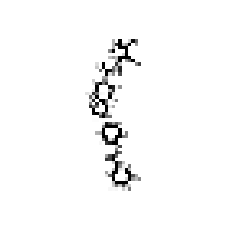 Cc1noc(NC(=O)N2CCC3(CC2)C[C@H](c2ccc(OCc4cccc(F)c4)cc2)CO3)c1C